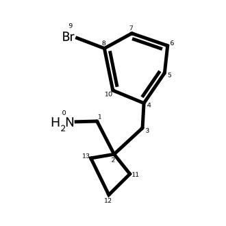 NCC1(Cc2cccc(Br)c2)CCC1